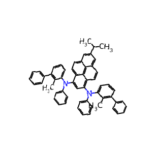 Cc1c(-c2ccccc2)cccc1N(c1ccccc1)c1cc(N(c2ccccc2)c2cccc(-c3ccccc3)c2C)c2ccc3cc(C(C)C)cc4ccc1c2c43